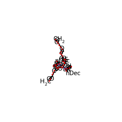 C=CC(=O)OCCCCCCOc1ccc(C(=O)Oc2cc(/C=N/N(CCCCCCCCCCCC)c3nc4cccnc4s3)c(OC(F)(F)c3ccc(OC(=O)CCc4ccc5cc(OCCCCCCOC(=O)C=C)ccc5c4)c(F)c3F)cc2/C=N/N(CCCCCCCCCCCC)c2nc3cccnc3s2)cc1